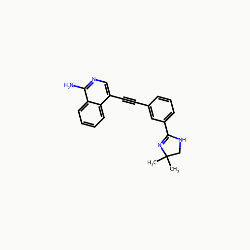 CC1(C)CNC(c2cccc(C#Cc3cnc(N)c4ccccc34)c2)=N1